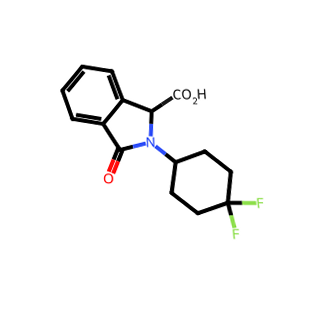 O=C(O)C1c2ccccc2C(=O)N1C1CCC(F)(F)CC1